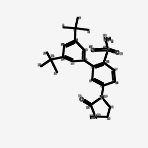 CC(C)(C)c1cc(-c2cc(N3CCNC3=O)ccc2S(N)(=O)=O)cc(C(C)(C)C)c1